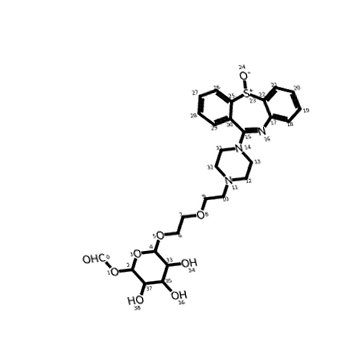 O=COC1OC(OCCOCCN2CCN(C3=Nc4ccccc4[S+]([O-])c4ccccc43)CC2)C(O)C(O)C1O